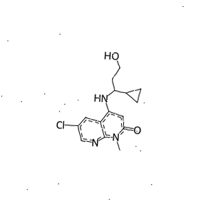 Cn1c(=O)cc(NC(CCO)C2CC2)c2cc(Cl)cnc21